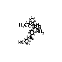 C=CC(=O)N1CCCC[C@H]1c1nc(-c2ccc(C(=O)Nc3cc(C#N)ccn3)cc2)c2c(N)nccn12